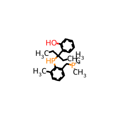 CCC(CC)(Pc1c(C)cccc1CP(C)C)c1ccccc1O